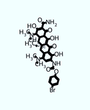 CC[C@@]12Cc3c(N(C)C)cc(NC(=O)Oc4ccc(Br)cc4)c(O)c3C(=O)C1=C(O)C1C(=O)C(C(N)=O)=C(O)C(N(C)C)C1C2